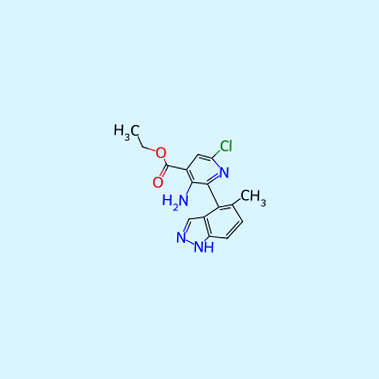 CCOC(=O)c1cc(Cl)nc(-c2c(C)ccc3[nH]ncc23)c1N